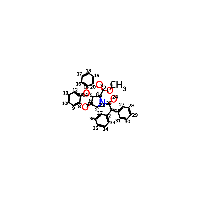 COC(=O)[C@@H]1C[C@H](Oc2ccccc2Oc2ccccc2)CN1C(=O)C(c1ccccc1)c1ccccc1